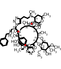 CC[C@H]1OC(=O)[C@H](C)[C@@H](O[C@H]2C[C@@](C)(OC)[C@@H](O)[C@H](C)O2)[C@H](C)[C@@H](O[C@@H]2O[C@H](C)C[C@H](N(C)CCc3cn([C@H](COCc4ccccc4)COc4ccc(-c5csnn5)cc4)nn3)[C@H]2O)[C@](C)(O)C[C@@H](C)CN(C)[C@H](C)[C@@H](O)[C@]1(C)O